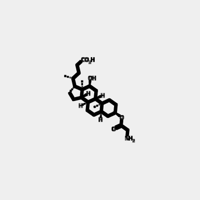 C[C@H](CCC(=O)O)[C@H]1CC[C@H]2[C@@H]3CC[C@@H]4C[C@H](OC(=O)CN)CC[C@]4(C)[C@H]3C[C@H](O)[C@]12C